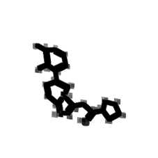 Cc1cccc(-c2ccc3ncc(CC(=O)C4CCCC4)n3c2)c1C